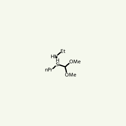 CCC[SiH](NCC)C(OC)OC